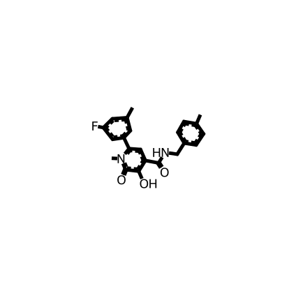 Cc1ccc(CNC(=O)c2cc(-c3cc(C)cc(F)c3)n(C)c(=O)c2O)cc1